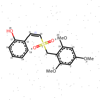 COc1cc(OC)c(CS(=O)(=O)/C=C\c2ccccc2O)c(OC)c1